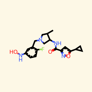 CC1CN(Cc2cc(NO)ccc2F)CC1NC(=O)c1cc(C2CC2)on1